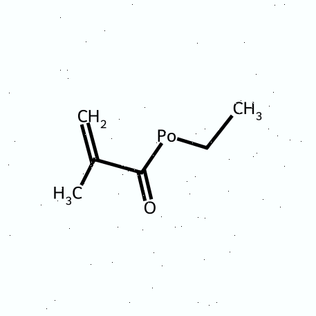 C=C(C)[C](=O)[Po][CH2]C